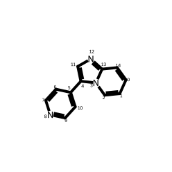 c1ccn2c(-c3ccncc3)cnc2c1